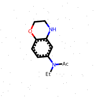 CCN(C(C)=O)c1ccc2c(c1)NCCO2